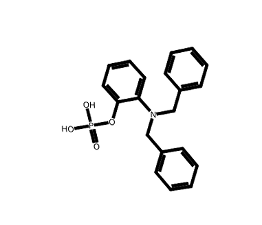 O=P(O)(O)Oc1ccccc1N(Cc1ccccc1)Cc1ccccc1